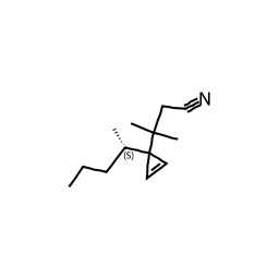 CCC[C@H](C)C1(C(C)(C)CC#N)C=C1